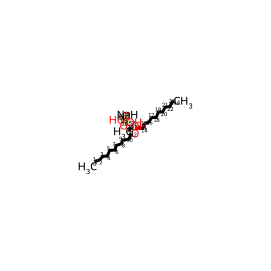 CCCCCCCCCCCCOCCCCCCCCCCCC.CCO.O=S(=O)(O)O.[NaH]